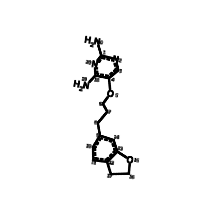 Nc1ncc(OCCCc2ccc3c(c2)OCC3)c(N)n1